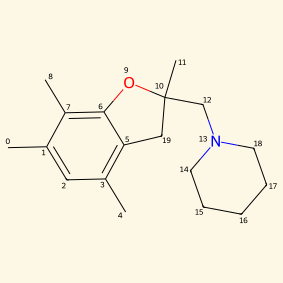 Cc1cc(C)c2c(c1C)OC(C)(CN1CCCCC1)C2